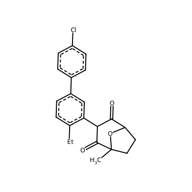 CCc1ccc(-c2ccc(Cl)cc2)cc1C1C(=O)C2CCC(C)(O2)C1=O